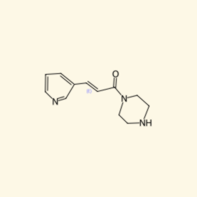 O=C(/C=C/c1cccnc1)N1CCNCC1